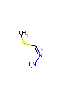 CS/C=N\N